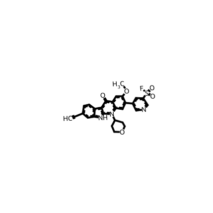 C#Cc1ccc2c(c1)[nH]c1c2c(=O)c2cc(OC)c(-c3cncc(S(=O)(=O)F)c3)cc2n1C1CCOCC1